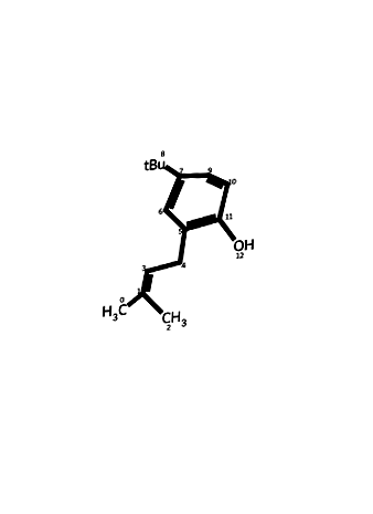 CC(C)=CCc1cc(C(C)(C)C)ccc1O